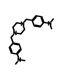 CN(C)c1ccc(CN2CCN(Cc3ccc(N(C)C)cc3)CC2)cc1